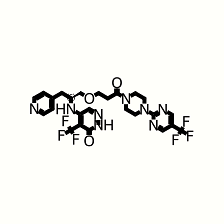 O=C(CCOC[C@H](Cc1ccncc1)Nc1cn[nH]c(=O)c1C(F)(F)F)N1CCN(c2ncc(C(F)(F)F)cn2)CC1